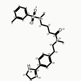 Cc1cccc(S(=O)(=O)N(C)CCCC(=O)N(C)CCc2ccc(C3=NCCN3)cc2)c1